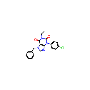 CCn1c(=O)c2c(ncn2Cc2ccccc2)n(-c2ccc(Cl)cc2)c1=O